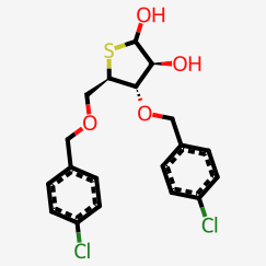 OC1S[C@H](COCc2ccc(Cl)cc2)[C@@H](OCc2ccc(Cl)cc2)[C@@H]1O